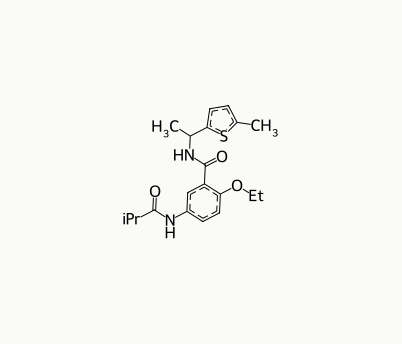 CCOc1ccc(NC(=O)C(C)C)cc1C(=O)NC(C)c1ccc(C)s1